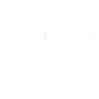 COCc1cc(Cl)nc(-c2csc3c(F)cccc23)c1